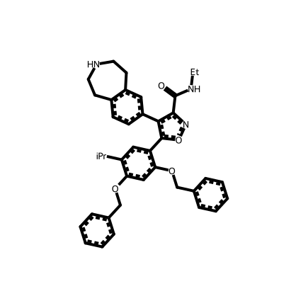 CCNC(=O)c1noc(-c2cc(C(C)C)c(OCc3ccccc3)cc2OCc2ccccc2)c1-c1ccc2c(c1)CCNCC2